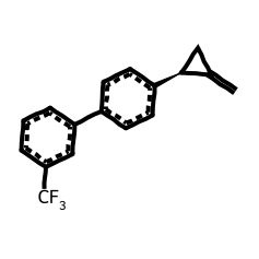 C=C1C[C@@H]1c1ccc(-c2cccc(C(F)(F)F)c2)cc1